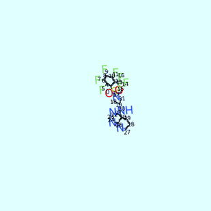 O=S(=O)(c1c(F)c(F)c(F)c(F)c1C(F)(F)F)N1CC(Nc2ncnc3ncccc23)C1